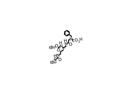 CC(C)(C)OC(=O)NCCC[C@H](CNC(=O)CN(Cc1ccccc1)C(=O)O)NC(=O)OC(C)(C)C